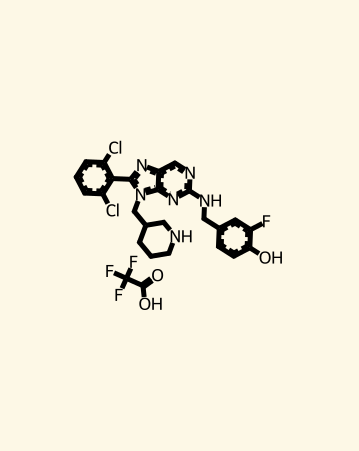 O=C(O)C(F)(F)F.Oc1ccc(CNc2ncc3nc(-c4c(Cl)cccc4Cl)n(CC4CCCNC4)c3n2)cc1F